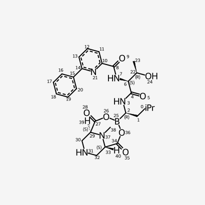 CC(C)C[C@H](NC(=O)[C@@H](NC(=O)c1cccc(-c2ccccc2)n1)[C@@H](C)O)B1OC(=O)[C@@H]2CNC[C@@H](C(=O)O1)N2C